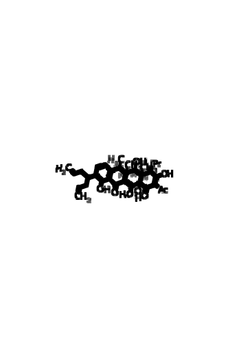 C=CCC(CC=C)c1ccc2c(c1O)C(=O)C1=C(O)[C@@]3(O)C(=O)C(C(C)=O)=C(O)C(C(C)C)[C@@]3(C)[C@H](O)[C@@]1(C)[C@@H]2C